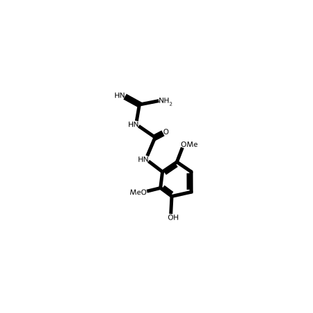 COc1ccc(O)c(OC)c1NC(=O)NC(=N)N